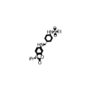 CCS(=O)(=O)N[C@H]1CC[C@H](CNc2ccc3c(c2)oc(=O)n3C(C)C)CC1